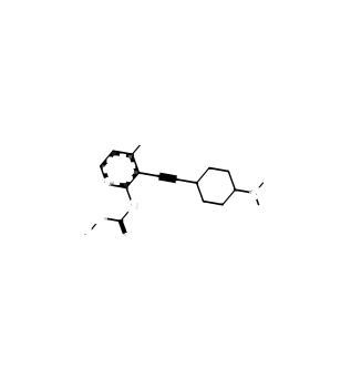 CC(C)(C)OC(=O)Nc1nccc(Cl)c1C#CC1CCC(N(C(=O)O)C(C)(C)C)CC1